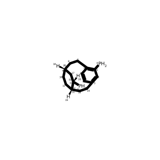 Pc1cc2ccc1CC[C@H]1CC[C@@H](CC2)[C@@H](P)C1